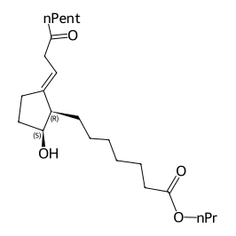 CCCCCC(=O)CC=C1CC[C@H](O)[C@@H]1CCCCCCC(=O)OCCC